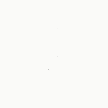 COc1cc(C(=O)c2c3ccc(OC)c(Br)c3nn2S(=O)(=O)c2ccc(C)cc2)cc(OC)c1OC